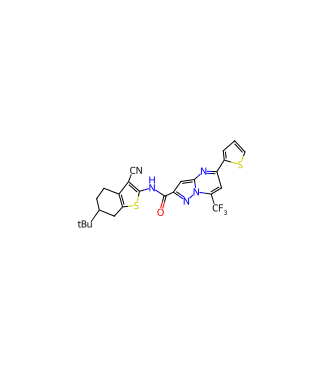 CC(C)(C)C1CCc2c(sc(NC(=O)c3cc4nc(-c5cccs5)cc(C(F)(F)F)n4n3)c2C#N)C1